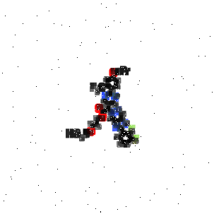 CCCOc1ccc(-c2ncc(C(C(=O)OCCCOS(=O)(=O)O)n3cc4nc(-c5cccc(F)c5F)nc-4cn3)cn2)c(C(F)(F)F)c1